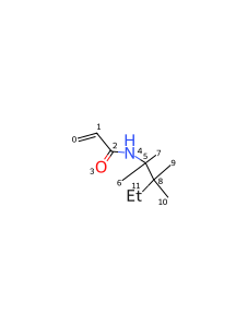 C=CC(=O)NC(C)(C)C(C)(C)CC